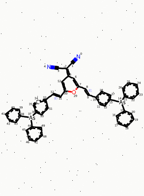 N#CC(C#N)=C1C=C(/C=C/c2ccc([As](c3ccccc3)c3ccccc3)cc2)OC(/C=C/c2ccc([As](c3ccccc3)c3ccccc3)cc2)=C1